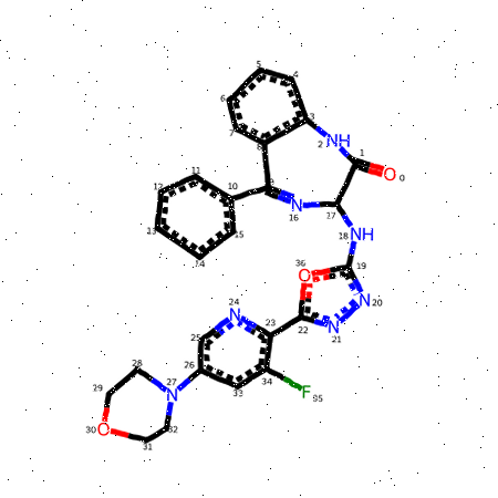 O=C1Nc2ccccc2C(c2ccccc2)=NC1Nc1nnc(-c2ncc(N3CCOCC3)cc2F)o1